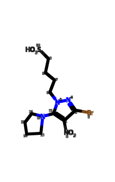 O=[N+]([O-])c1c(Br)nn(CCCCS(=O)(=O)O)c1N1CCCC1